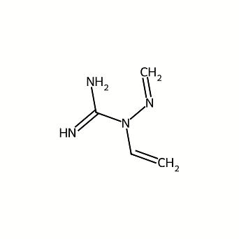 C=CN(N=C)C(=N)N